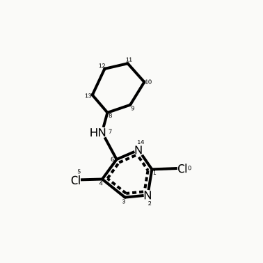 Clc1ncc(Cl)c(NC2CCCCC2)n1